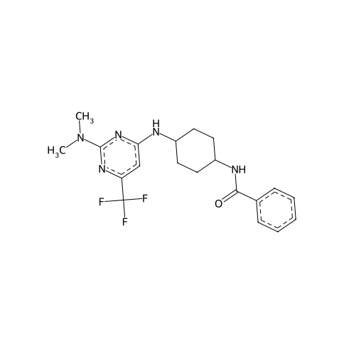 CN(C)c1nc(NC2CCC(NC(=O)c3ccccc3)CC2)cc(C(F)(F)F)n1